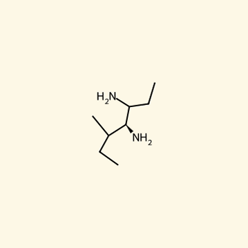 CCC(C)[C@H](N)C(N)CC